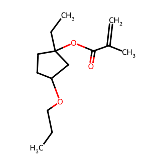 C=C(C)C(=O)OC1(CC)CCC(OCCC)C1